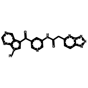 CC(C)n1cc(C(=O)c2cncc(NC(=O)Cc3ccc4nnnn4n3)c2)c2cncnc21